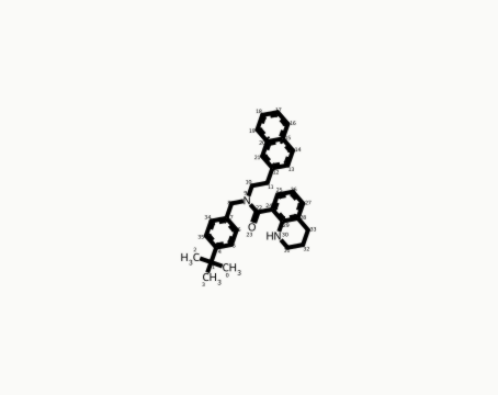 CC(C)(C)c1ccc(CN(CCc2ccc3ccccc3c2)C(=O)c2cccc3c2NCCC3)cc1